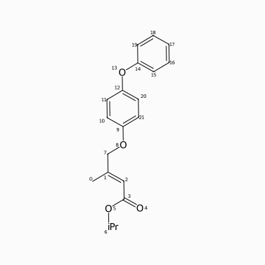 CC(=CC(=O)OC(C)C)COc1ccc(Oc2ccccc2)cc1